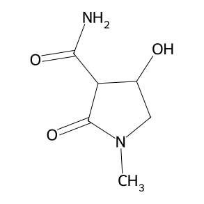 CN1CC(O)C(C(N)=O)C1=O